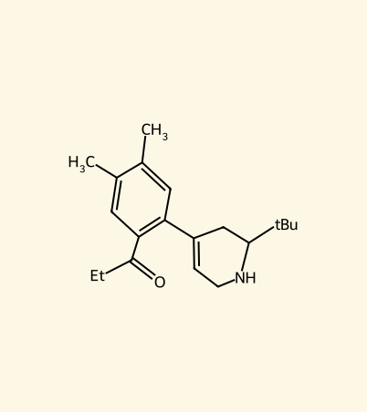 CCC(=O)c1cc(C)c(C)cc1C1=CCNC(C(C)(C)C)C1